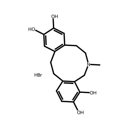 Br.CN1CCc2cc(O)c(O)cc2CCc2ccc(O)c(O)c2C1